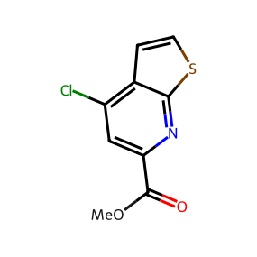 COC(=O)c1cc(Cl)c2ccsc2n1